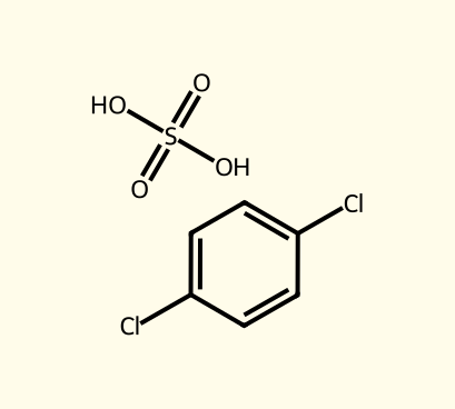 Clc1ccc(Cl)cc1.O=S(=O)(O)O